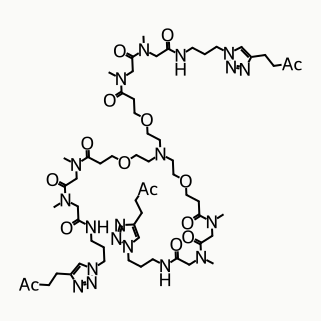 CC(=O)CCc1cn(CCCNC(=O)CN(C)C(=O)CN(C)C(=O)CCOCCN(CCOCCC(=O)N(C)CC(=O)N(C)CC(=O)NCCCn2cc(CCC(C)=O)nn2)CCOCCC(=O)N(C)CC(=O)N(C)CC(=O)NCCCn2cc(CCC(C)=O)nn2)nn1